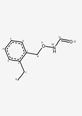 CCc1ccccc1CONC=O